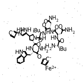 CC[C@H](C)[C@H](N)C(=O)N[C@@H](CC(N)=O)C(=O)N[C@@H](CC(N)=O)C(=O)N[C@H](C(=O)N1CC(C2=CN(c3cc[cH-]c3)NN2)C[C@H]1C(=O)N[C@@H](Cc1c[nH]c2ccccc12)C(N)=O)[C@@H](C)CC.[Fe+2].c1cc[cH-]c1